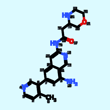 Cc1ccncc1-c1cc(N)c2cnc(NC(=O)CC3COCCN3)cc2c1